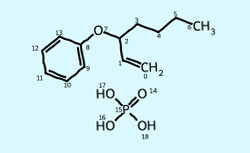 C=CC(CCCC)Oc1ccccc1.O=P(O)(O)O